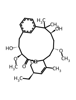 CC[C@H](/C=C(/C)C1C[C@@H](OC)C[C@H](O)C(C)(C)c2cccc(c2)C[C@@H](O)[C@H](OC)C(=O)O1)CO